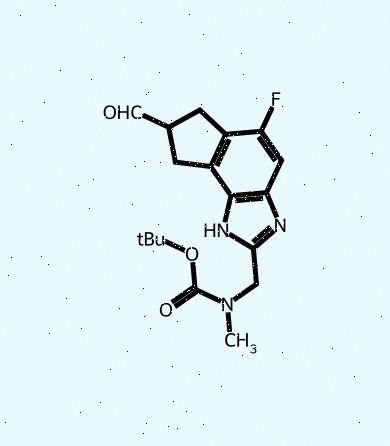 CN(Cc1nc2cc(F)c3c(c2[nH]1)CC(C=O)C3)C(=O)OC(C)(C)C